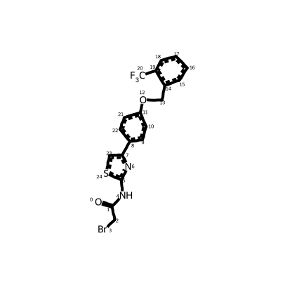 O=C(CBr)Nc1nc(-c2ccc(OCc3ccccc3C(F)(F)F)cc2)cs1